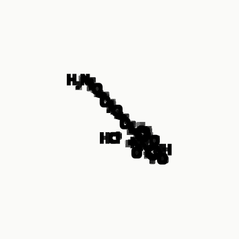 Cl.Cn1c(=O)n(C2CCC(=O)NC2=O)c2cccc(CCOCCOCCOCCOCCN)c21